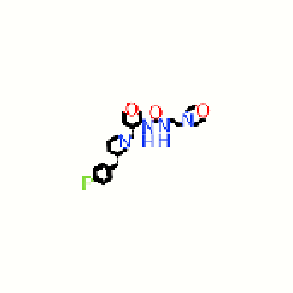 O=C(NCCN1CCOCC1)N[C@@H]1COCC[C@H]1CN1CCC[C@@H](Cc2ccc(F)cc2)C1